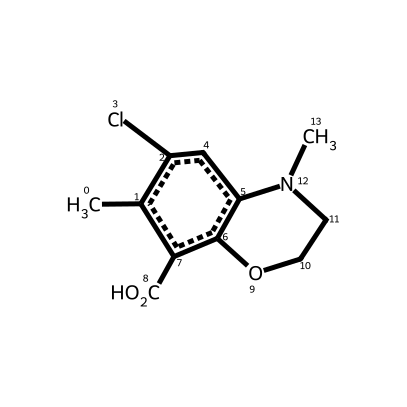 Cc1c(Cl)cc2c(c1C(=O)O)OCCN2C